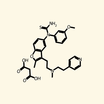 COc1cccc(N(C(N)=S)c2ccc3oc(C)c(CCN(C)CCc4ccncc4)c3c2)c1.O=C(O)CC(=O)O